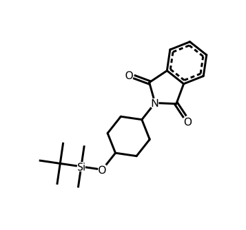 CC(C)(C)[Si](C)(C)OC1CCC(N2C(=O)c3ccccc3C2=O)CC1